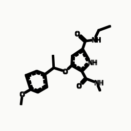 CCNC(=O)c1cc(OC(C)c2ccc(OC)cc2)c(C(=O)NC)[nH]1